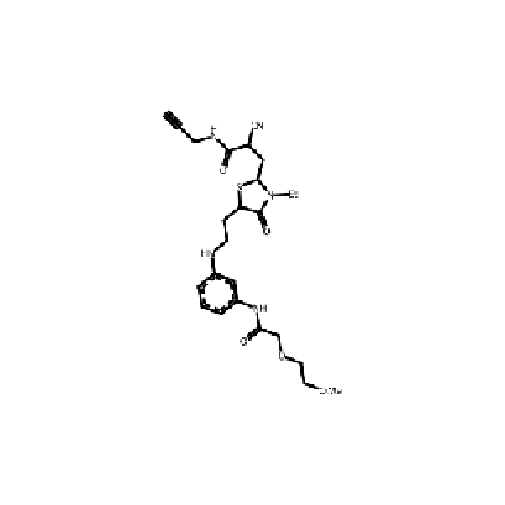 C#CCNC(=O)C(C#N)CC1SC(CCNc2cccc(NC(=O)COCCOC)c2)C(=O)N1CC